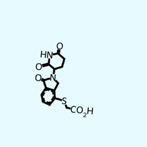 O=C(O)CSc1cccc2c1CN(C1CCC(=O)NC1=O)C2=O